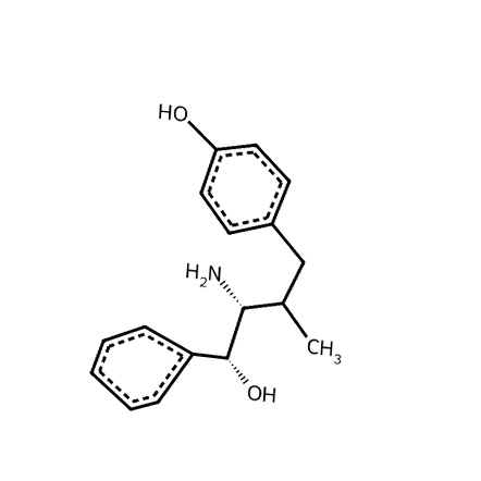 CC(Cc1ccc(O)cc1)[C@@H](N)[C@H](O)c1ccccc1